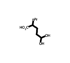 CCCC(CCC(O)O)C(=O)O